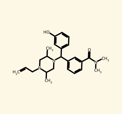 C=CCN1CC(C)N(C(c2cccc(O)c2)c2cccc(C(=O)N(C)C)c2)CC1C